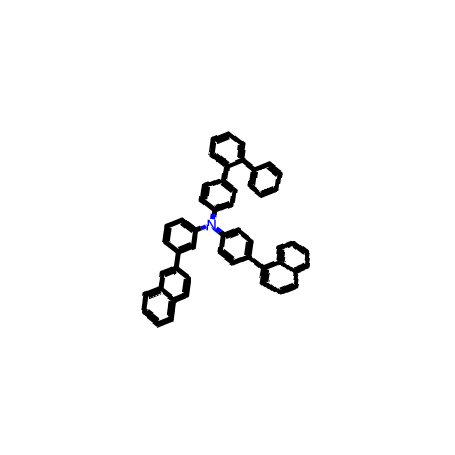 c1ccc(-c2ccccc2-c2ccc(N(c3ccc(-c4cccc5ccccc45)cc3)c3cccc(-c4ccc5ccccc5c4)c3)cc2)cc1